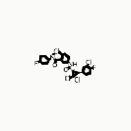 CN(C(=O)c1cc(NC(=O)[C@@H]2[C@@H](c3ccc(F)c(Cl)c3)C2(Cl)Cl)ccc1Cl)c1ccc(F)cc1